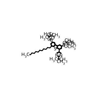 CCCCCCCCCCCCc1cc(B2OC(C)(C)C(C)(C)O2)cc2c1sc1c(-c3cnc(C(C)(C)C)nc3)cc(B3OC(C)(C)C(C)(C)O3)cc12